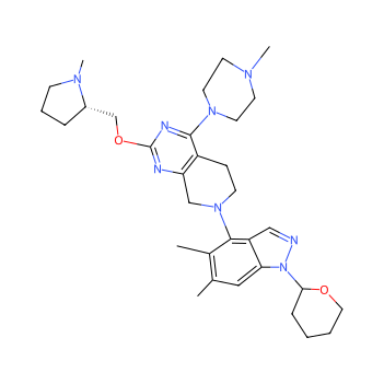 Cc1cc2c(cnn2C2CCCCO2)c(N2CCc3c(nc(OC[C@@H]4CCCN4C)nc3N3CCN(C)CC3)C2)c1C